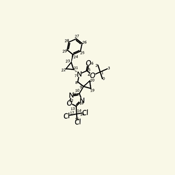 CC(C)(C)OC(=O)N(CC1(c2noc(C(Cl)(Cl)Cl)n2)CC1)[C@@H]1C[C@H]1c1ccccc1